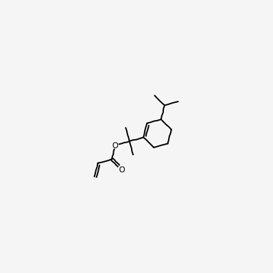 C=CC(=O)OC(C)(C)C1=CC(C(C)C)CCC1